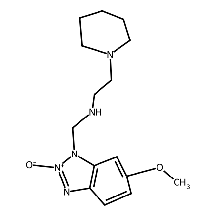 COc1ccc2n[n+]([O-])n(CNCCN3CCCCC3)c2c1